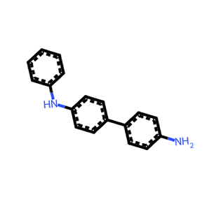 Nc1ccc(-c2ccc(Nc3ccccc3)cc2)cc1